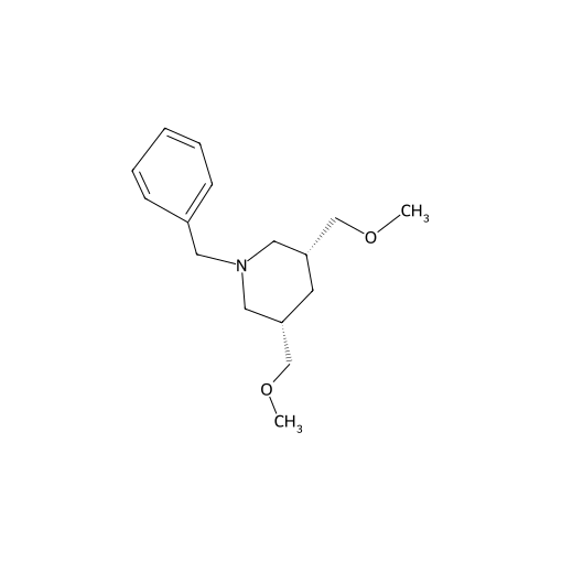 COC[C@@H]1C[C@H](COC)CN(Cc2ccccc2)C1